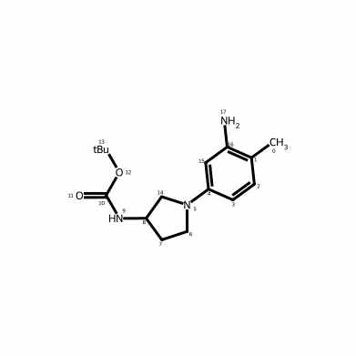 Cc1ccc(N2CCC(NC(=O)OC(C)(C)C)C2)cc1N